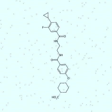 O=C(NCCNC(=O)c1ccc(C2CC2)c(F)c1)c1ccc(O[C@H]2CC[C@@H](C(=O)O)CC2)cc1